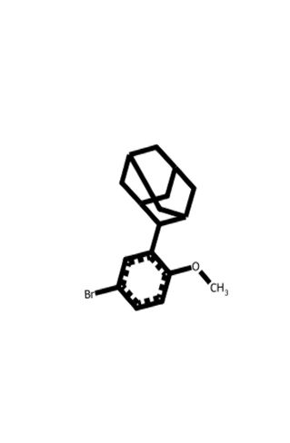 COc1ccc(Br)cc1C1C2CC3CC(C2)CC1C3